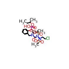 CCC(C)OP(=O)(O)Oc1ccccc1CN(C)C(=O)N(N(CCCl)S(C)(=O)=O)S(C)(=O)=O